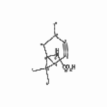 CC1C#CC2C(C)(C)C2(NC(=O)O)C1